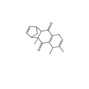 CC1=CCC2=C(C(=O)C3(C)C4C=CC(C4)C3C2=O)C1C